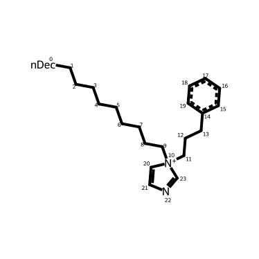 CCCCCCCCCCCCCCCCCCC[N+]1(CCCc2ccccc2)C=CN=C1